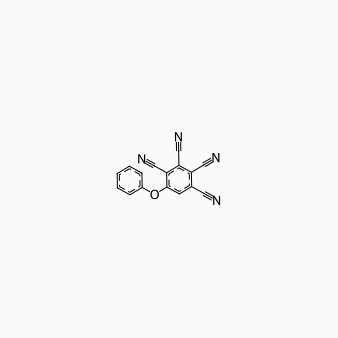 N#Cc1cc(Oc2ccccc2)c(C#N)c(C#N)c1C#N